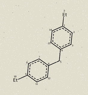 CCc1ccc([CH]c2ccc(CC)cc2)cc1